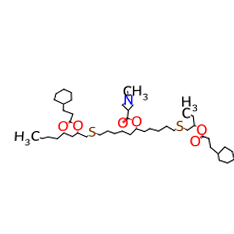 CCCCCCC(CSCCCCCC(CCCCCSCC(CC)OC(=O)CCC1CCCCC1)OC(=O)C1CN(C)C1)OC(=O)CCC1CCCCC1